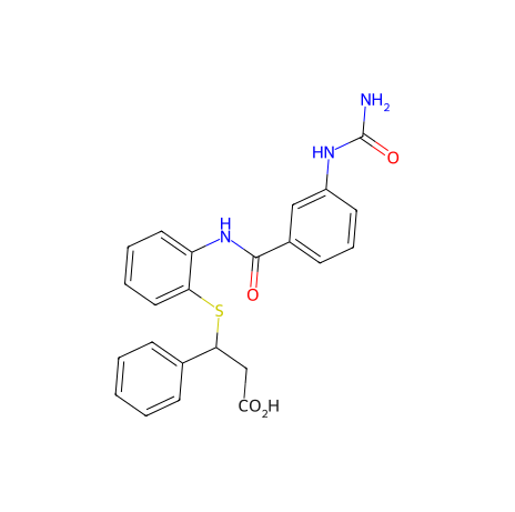 NC(=O)Nc1cccc(C(=O)Nc2ccccc2SC(CC(=O)O)c2ccccc2)c1